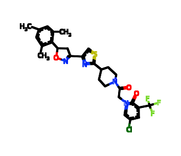 Cc1cc(C)c(C2CC(c3csc(C4CCN(C(=O)Cn5cc(Cl)cc(C(F)(F)F)c5=O)CC4)n3)=NO2)c(C)c1